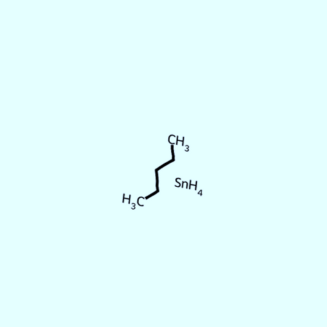 CCCCC.[SnH4]